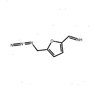 [N-]=[N+]=NCc1ccc(C=N)o1